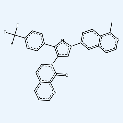 Cc1nccc2cc(-n3cc(-n4ccc5cccnc5c4=O)c(-c4ccc(C(F)(F)F)cc4)n3)ccc12